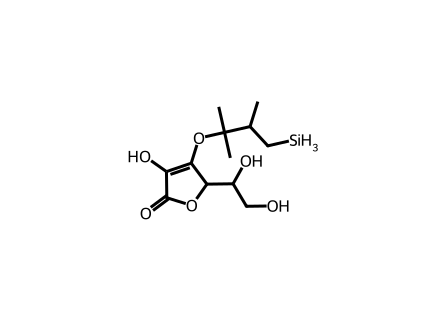 CC(C[SiH3])C(C)(C)OC1=C(O)C(=O)OC1C(O)CO